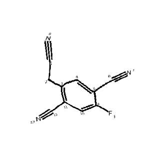 N#CCc1cc(C#N)c(F)cc1C#N